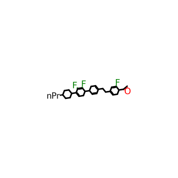 CCCC1CCC(C2=CCC(C3C=CC(CCC4=CCC(C5CO5)C(F)=C4)=CC3)C(F)=C2F)CC1